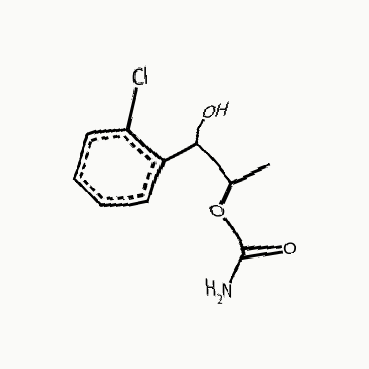 CC(OC(N)=O)C(O)c1ccccc1Cl